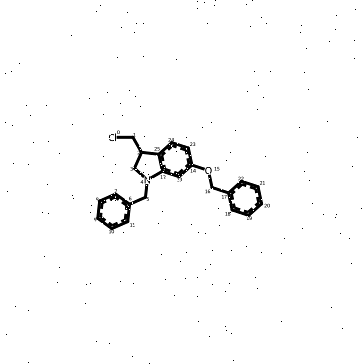 ClCC1CN(Cc2ccccc2)c2cc(OCc3ccccc3)ccc21